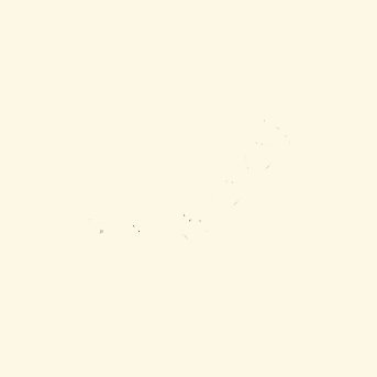 Cc1oc(-c2ccc(-c3ccc(S(C)(=O)=O)cc3)cc2)nc1CCN1CC[C@@H](O)C1